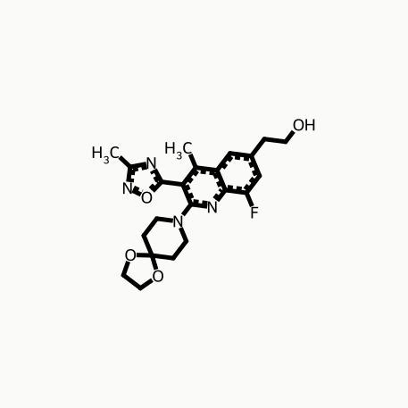 Cc1noc(-c2c(N3CCC4(CC3)OCCO4)nc3c(F)cc(CCO)cc3c2C)n1